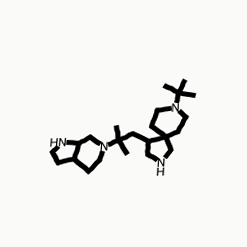 CC(C)(C)N1CCC2(CC1)CNCC2CC(C)(C)N1CCC2CCNC2C1